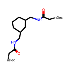 CCCCCCCCCCCC(=O)NCC1CCCC(CNC(=O)CCCCCCCCCCC)C1